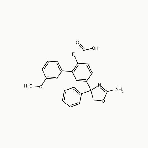 COc1cccc(-c2cc(C3(c4ccccc4)COC(N)=N3)ccc2F)c1.O=CO